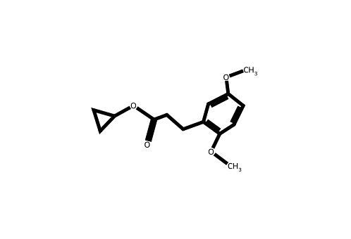 COc1ccc(OC)c(CCC(=O)OC2CC2)c1